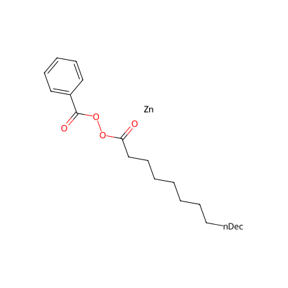 CCCCCCCCCCCCCCCCCC(=O)OOC(=O)c1ccccc1.[Zn]